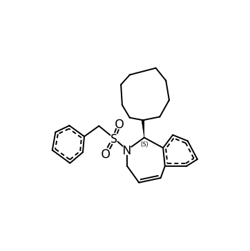 O=S(=O)(Cc1ccccc1)N1CC=Cc2ccccc2[C@@H]1C1CCCCCCCC1